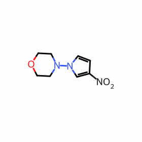 O=[N+]([O-])c1ccn(N2CCOCC2)c1